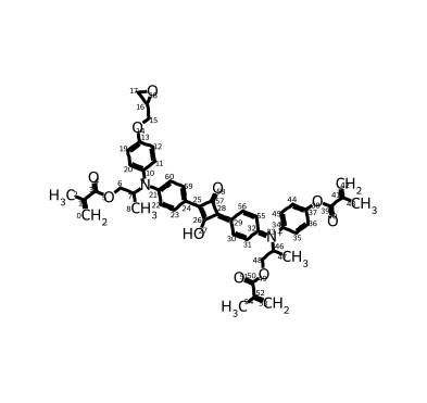 C=C(C)C(=O)OCC(C)N(c1ccc(OCC2CO2)cc1)c1ccc(C2=C(O)C(=C3C=CC(=[N+](c4ccc(OC(=O)C(=C)C)cc4)C(C)COC(=O)C(=C)C)C=C3)C2=O)cc1